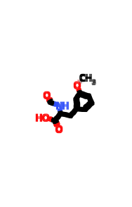 COc1cccc(CC(NC=O)C(=O)O)c1